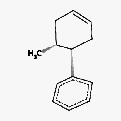 C[C@@H]1CC=CC[C@@H]1c1ccccc1